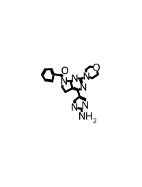 Nc1ncc(-c2nc(N3CCOCC3)nc3c2CCN3C(=O)c2ccccc2)cn1